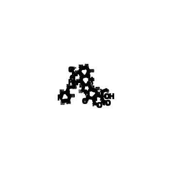 CC[C@@]1(O)C(=O)OCc2c1cc1n(c2=O)Cc2c-1nc1cccc([N+](=O)[O-])c1c2NCCc1cccnc1